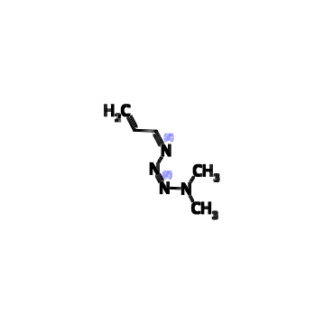 C=C/C=N\N=N/N(C)C